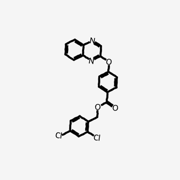 O=C(OCc1ccc(Cl)cc1Cl)c1ccc(Oc2cnc3ccccc3n2)cc1